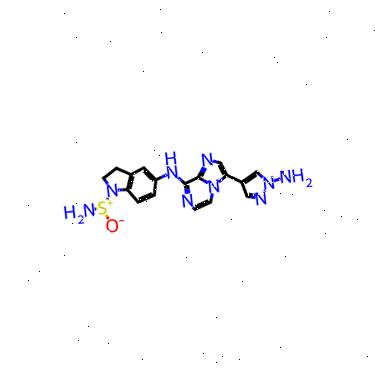 Nn1cc(-c2cnc3c(Nc4ccc5c(c4)CCN5[S+](N)[O-])nccn23)cn1